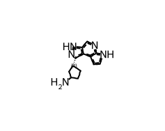 NC1CC[C@@H](c2n[nH]c3cnc4[nH]ccc4c23)C1